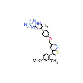 COc1ccc(-c2csc3ncc(COc4ccc(C(C)C/C(=N/N)NN)cc4)cc23)c(C)c1